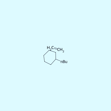 C=C.CCCCC1CCCCC1